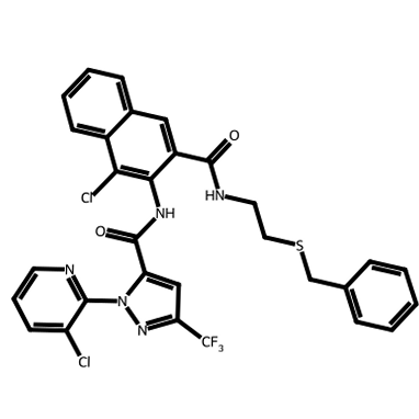 O=C(NCCSCc1ccccc1)c1cc2ccccc2c(Cl)c1NC(=O)c1cc(C(F)(F)F)nn1-c1ncccc1Cl